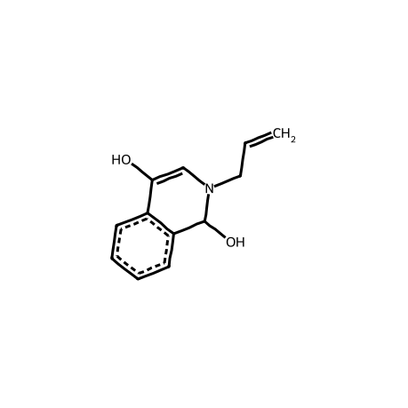 C=CCN1C=C(O)c2ccccc2C1O